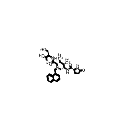 CC[C@H](C)[C@@H](CN(CC(=O)N[C@H](CO)C(=O)O)Cc1cccc2ccccc12)NC(=O)[C@@H]1CCC(=O)N1